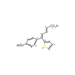 COc1ccc(/C(=C/C=C/C(=O)O)c2cccs2)cc1